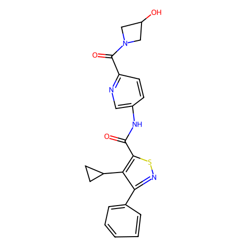 O=C(Nc1ccc(C(=O)N2CC(O)C2)nc1)c1snc(-c2ccccc2)c1C1CC1